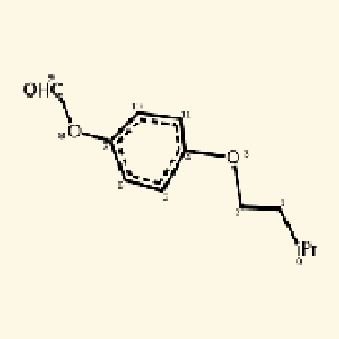 CC(C)CCOc1ccc(O[C]=O)cc1